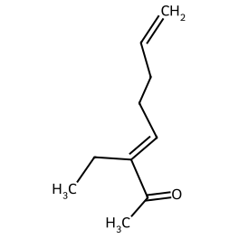 C=CCC/C=C(\CC)C(C)=O